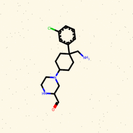 NCC1(c2cccc(Cl)c2)CCC(N2CCNC(C=O)C2)CC1